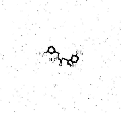 Cc1cccc(CN(C)C(=O)Cc2c[nH]c3ccc(C)cc23)c1